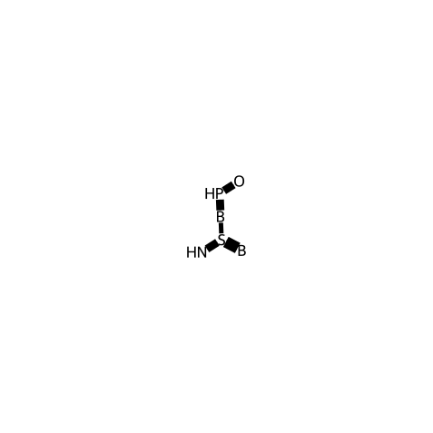 B#S(=N)B=[PH]=O